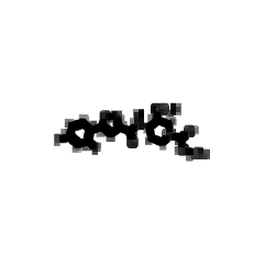 CC(C)(C)OC(=O)N1CC[C@H](NC(=O)c2cc(-c3ccc(F)cc3F)on2)C(C(=O)O)C1